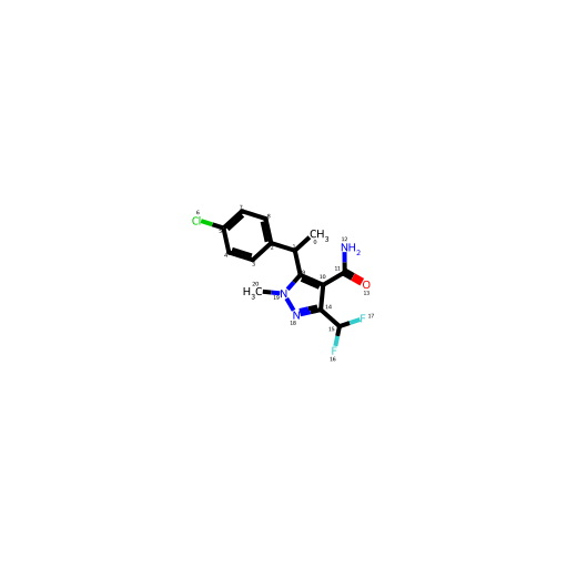 CC(c1ccc(Cl)cc1)c1c(C(N)=O)c(C(F)F)nn1C